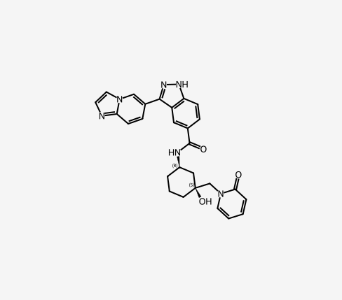 O=C(N[C@@H]1CCC[C@@](O)(Cn2ccccc2=O)C1)c1ccc2[nH]nc(-c3ccc4nccn4c3)c2c1